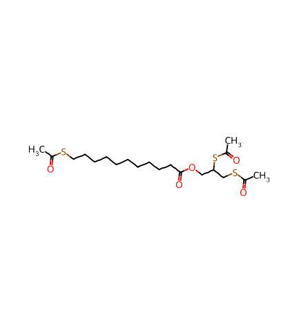 CC(=O)SCCCCCCCCCCC(=O)OCC(CSC(C)=O)SC(C)=O